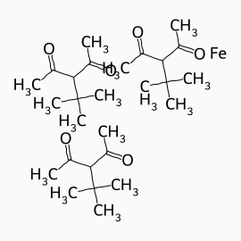 CC(=O)C(C(C)=O)C(C)(C)C.CC(=O)C(C(C)=O)C(C)(C)C.CC(=O)C(C(C)=O)C(C)(C)C.[Fe]